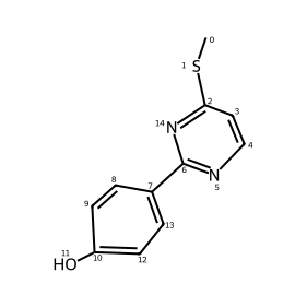 CSc1ccnc(-c2ccc(O)cc2)n1